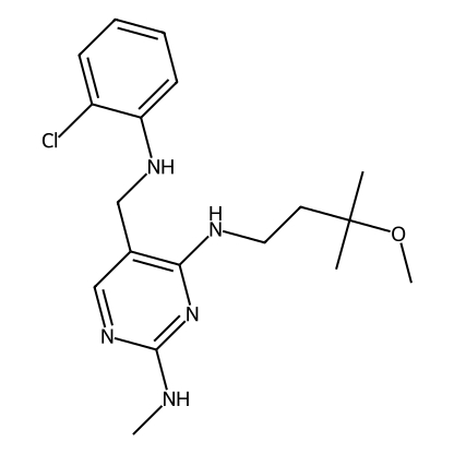 CNc1ncc(CNc2ccccc2Cl)c(NCCC(C)(C)OC)n1